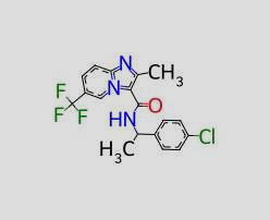 Cc1nc2ccc(C(F)(F)F)cn2c1C(=O)NC(C)c1ccc(Cl)cc1